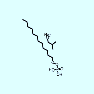 CC(C)C[O-].CCCCCCCCCCCCOOP(=O)(O)O.[Na+]